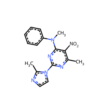 Cc1nc(-n2ccnc2C)nc(N(C)c2ccccc2)c1[N+](=O)[O-]